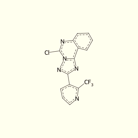 FC(F)(F)c1ncccc1-c1nc2c3ccccc3nc(Cl)n2n1